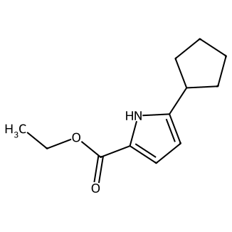 CCOC(=O)c1ccc(C2CCCC2)[nH]1